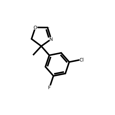 CC1(c2cc(F)cc(Cl)c2)CO[C]=N1